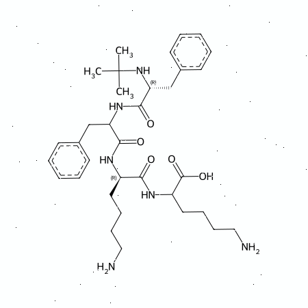 CC(C)(C)N[C@H](Cc1ccccc1)C(=O)NC(Cc1ccccc1)C(=O)N[C@H](CCCCN)C(=O)NC(CCCCN)C(=O)O